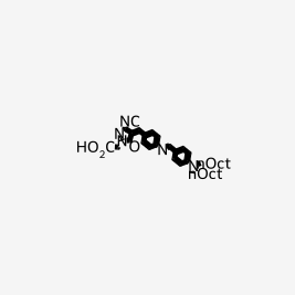 [C-]#[N+]C1=NN(CC(=O)O)C(=O)/C1=C\c1ccc(/N=C/c2ccc(N(CCCCCCCC)CCCCCCCC)cc2)cc1